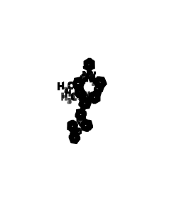 CC1C=CC2(C)C3=C1C(C)c1c(n(c4ccc(-c5ccc6c(c5)c5ccccc5n6-c5cccc6c5oc5ccccc56)cc14)-c1cccc4c1oc1c(cccc14)-c1nc(-c4ccccc4)nc2n1)C3C